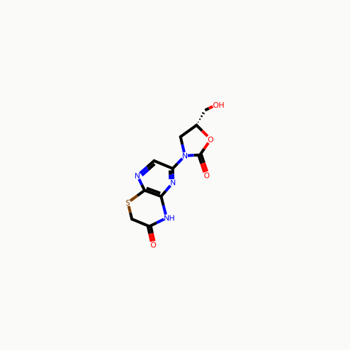 O=C1CSc2ncc(N3C[C@H](CO)OC3=O)nc2N1